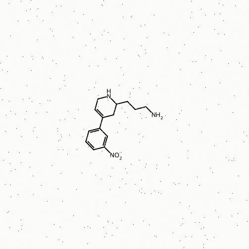 NCCCC1CC(c2cccc([N+](=O)[O-])c2)=CCN1